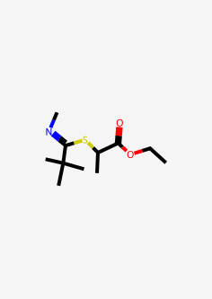 CCOC(=O)C(C)S/C(=N\C)C(C)(C)C